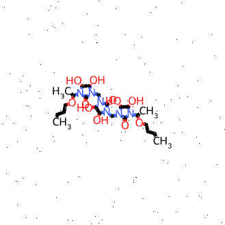 CCCCOC(C)N1C(=O)N(CN2C(=O)N(CN3C(=O)N(C(C)OCCCC)C(O)C3O)C(O)C2O)C(O)C1O